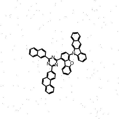 c1ccc2cc(-c3nc(-c4ccc5c(ccc6ccccc65)c4)nc(-c4ccc(-n5c6ccccc6c6cc7ccccc7cc65)c5oc6ccccc6c45)n3)ccc2c1